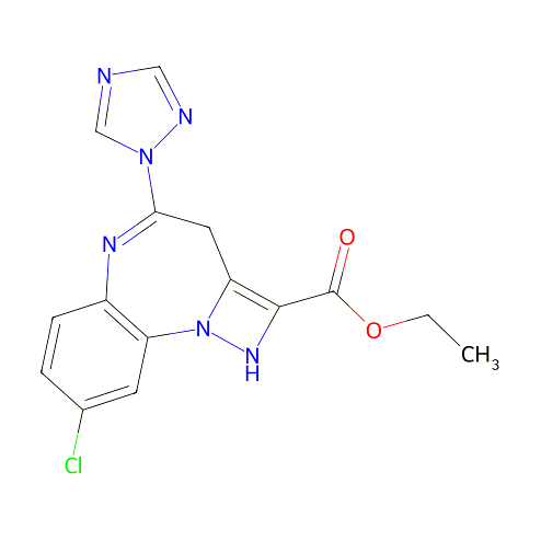 CCOC(=O)c1[nH]n2c1CC(n1cncn1)=Nc1ccc(Cl)cc1-2